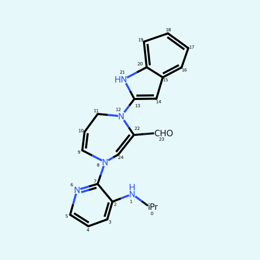 CC(C)Nc1cccnc1N1C=CCN(c2cc3ccccc3[nH]2)C(C=O)=C1